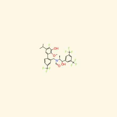 COc1c(-c2ccc(C(F)(F)F)cc2CN(C=O)[C@@H](C)[C@H](O)c2cc(C(F)(F)F)cc(C(F)(F)F)c2)cc(C(C)C)c(F)c1O